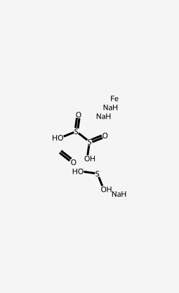 C=O.O=S(O)S(=O)O.OSO.[Fe].[NaH].[NaH].[NaH]